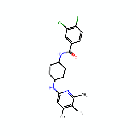 Cc1cc(NC2CCC(NC(=O)c3ccc(F)c(Cl)c3)CC2)nc(C)c1C